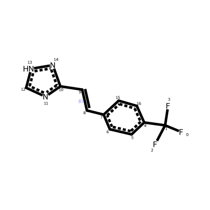 FC(F)(F)c1ccc(/C=C/c2nc[nH]n2)cc1